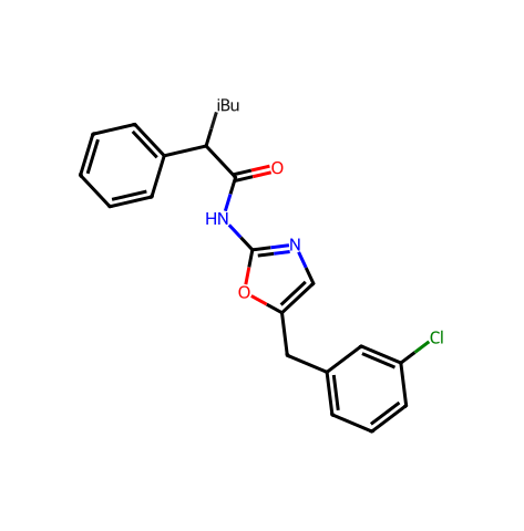 CCC(C)C(C(=O)Nc1ncc(Cc2cccc(Cl)c2)o1)c1ccccc1